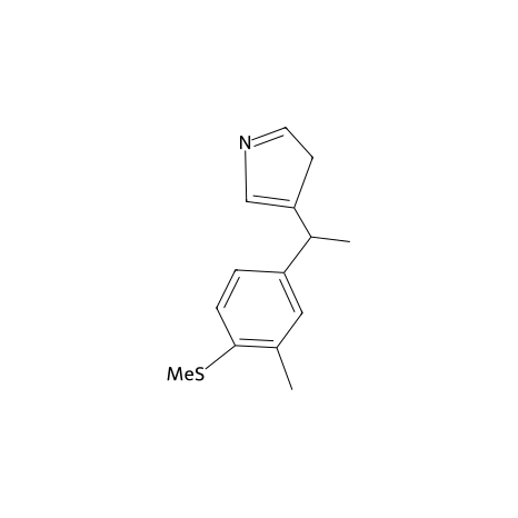 CSc1ccc(C(C)C2=CN=CC2)cc1C